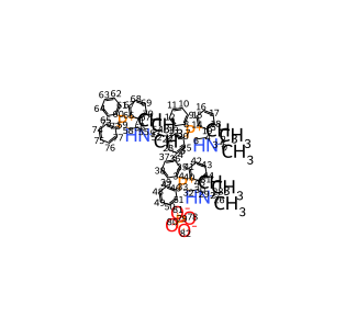 CC(C)NC(C)C[P+](c1ccccc1)(c1ccccc1)c1ccccc1.CC(C)NC(C)C[P+](c1ccccc1)(c1ccccc1)c1ccccc1.CC(C)NC(C)C[P+](c1ccccc1)(c1ccccc1)c1ccccc1.O=P([O-])([O-])[O-]